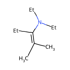 CCC(=C(C)C)N(CC)CC